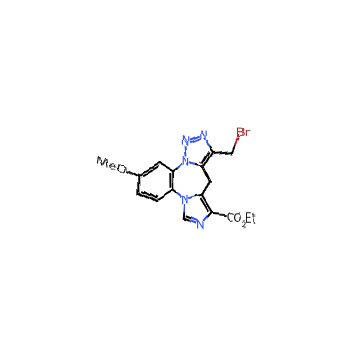 CCOC(=O)c1ncn2c1Cc1c(CBr)nnn1-c1cc(OC)ccc1-2